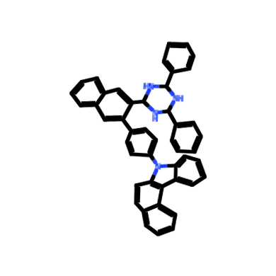 c1ccc(C2NC(c3ccccc3)NC(c3cc4ccccc4cc3-c3ccc(-n4c5ccccc5c5c6ccccc6ccc54)cc3)N2)cc1